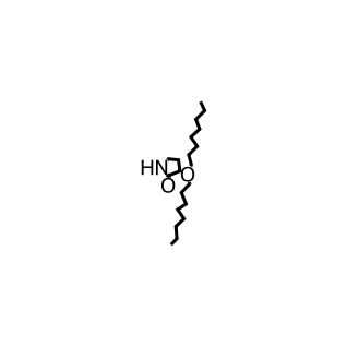 CCCCCCCCOCCCCCCCC.O=C1CCCN1